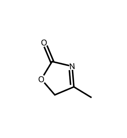 CC1=NC(=O)OC1